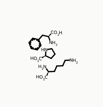 NCCCC[C@H](N)C(=O)O.N[C@@H](Cc1ccccc1)C(=O)O.O=C(O)[C@@H]1CCCN1